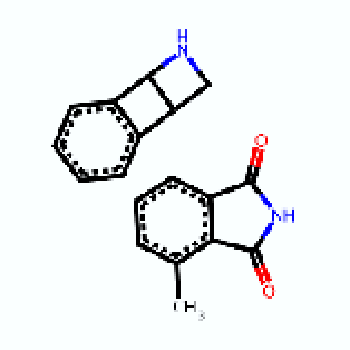 Cc1cccc2c1C(=O)NC2=O.c1ccc2c(c1)C1CNC21